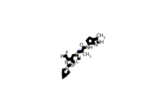 C=NN(/C=C(\C)C(=O)N[C@@H]1CCc2c1n[nH]c2C)Cc1cnc(N2CC3CC3C2)nc1C(F)F